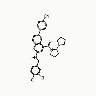 CN(Cc1ccc(Cl)c(Cl)c1)c1cc(C(=O)N2CCCC2N2CCCC2)c2cc(-c3ccc(C#N)cc3)ccc2n1